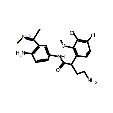 C/N=C(/C)c1cc(NC(=O)C(CCN)c2ccc(Cl)c(Cl)c2OC)ccc1N